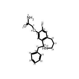 NC(=O)COc1cc2c(cc1F)CCCNC2Cc1ccccc1